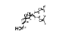 CC(C)OCCN(CCOC(C)C)C(=O)CC(C)(O)/C=C/CO